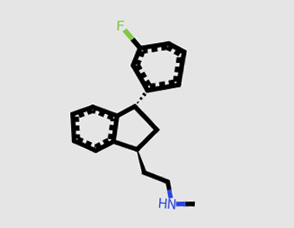 CNCC[C@@H]1C[C@@H](c2cccc(F)c2)c2ccccc21